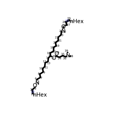 CCCCCC/C=C\CON=CCCCCCCCCC(CCCCCCCCC=NOC/C=C\CCCCCC)OC(=O)CCCN(C)C